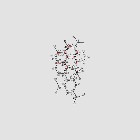 CC(C)c1cc(C(C)C)c(-c2cccc(-c3c(C(C)C)cc(C(C)C)cc3C(C)C)c2P(c2ccccc2-c2c(C(C)C)cccc2C(C)C)C(C)(C)C)c(C(C)C)c1